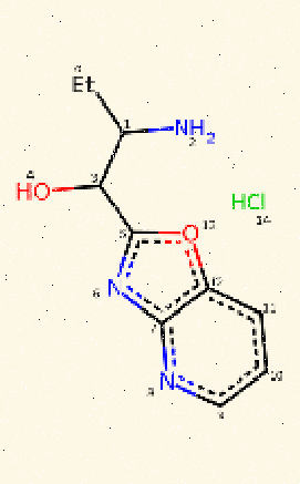 CCC(N)C(O)c1nc2ncccc2o1.Cl